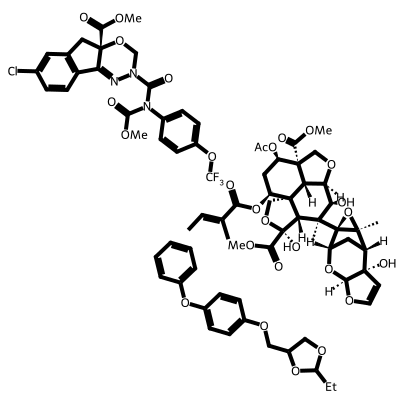 C/C=C(\C)C(=O)O[C@H]1C[C@@H](OC(C)=O)[C@@]2(C(=O)OC)CO[C@H]3[C@@H](O)[C@@](C)([C@]45O[C@@]4(C)[C@H]4C[C@@H]5O[C@@H]5OC=C[C@@]54O)[C@H]4[C@]1(CO[C@]4(O)C(=O)OC)[C@@H]32.CCC1OCC(COc2ccc(Oc3ccccc3)cc2)O1.COC(=O)N(C(=O)N1CO[C@@]2(C(=O)OC)Cc3cc(Cl)ccc3C2=N1)c1ccc(OC(F)(F)F)cc1